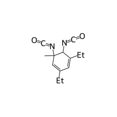 CCC1=CC(C)(N=C=O)C(N=C=O)C(CC)=C1